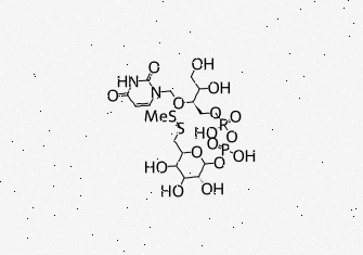 CSSCC1OC(OP(=O)(O)OP(=O)(O)OC[C@@H](OCn2ccc(=O)[nH]c2=O)C(O)CO)[C@H](O)C(O)C1O